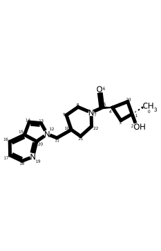 C[C@]1(O)C[C@@H](C(=O)N2CCC(Cn3ccc4cccnc43)CC2)C1